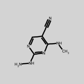 CNc1nc(NN)ncc1C#N